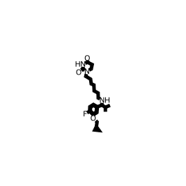 CC(C)C(NCCCCCCCN1CCC(=O)NC1=O)c1ccc(F)c(OCC2CC2)c1